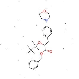 CC(C)(C)[Si](C)(C)OC(Cc1ccc(N2CCOCC2)cc1)C(=O)OCc1ccccc1